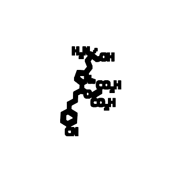 Cn1c(CC[C@@](C)(N)CO)ccc1C(=O)CCCc1ccc(C#N)cc1.O=C(O)/C=C/C(=O)O